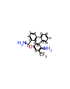 NC(=O)c1ccccc1-c1ccc(C(F)(F)F)c(N)c1-c1ccccc1